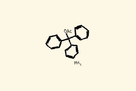 CC(=O)OC(c1ccccc1)(c1ccccc1)c1ccccc1.P